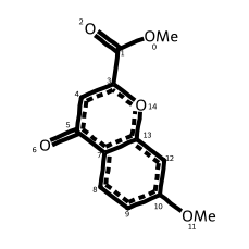 COC(=O)c1cc(=O)c2ccc(OC)cc2o1